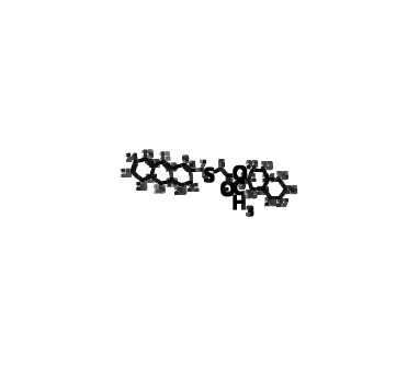 CC1(OC(=O)CSCC2=CC3=CC4=CC=CCC4CC3CC2)CCC2CCCCC2C1